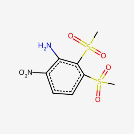 CS(=O)(=O)c1ccc([N+](=O)[O-])c(N)c1S(C)(=O)=O